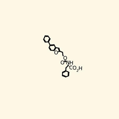 O=C(N[C@@H](Cc1ccccc1)C(=O)O)OCCc1cc2cc(-c3ccccc3)ccc2o1